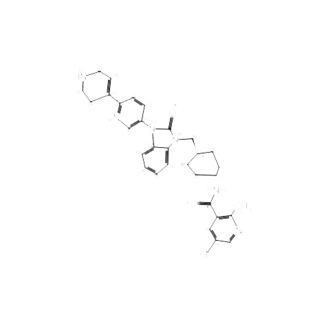 Cc1ncc(Cl)cc1C(=O)N[C@H]1CC[C@H](Cn2c(=O)n(-c3ccc(C4=CCNCC4)nc3)c3ccccc32)CC1